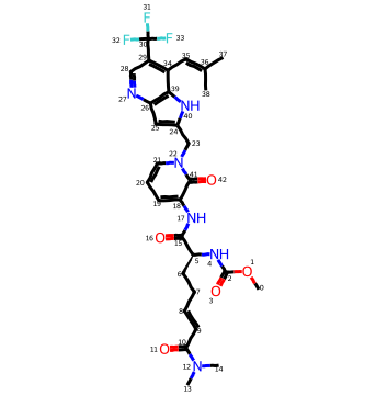 COC(=O)N[C@@H](CC/C=C/C(=O)N(C)C)C(=O)Nc1cccn(Cc2cc3ncc(C(F)(F)F)c(C=C(C)C)c3[nH]2)c1=O